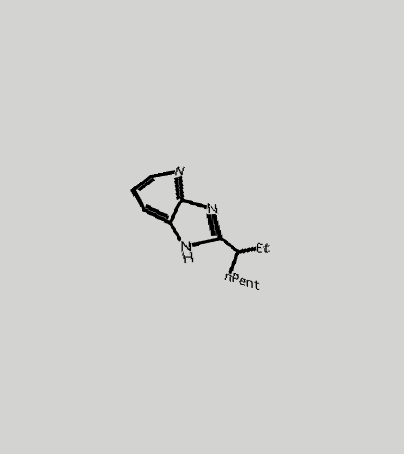 CCCCCC(CC)c1nc2ncccc2[nH]1